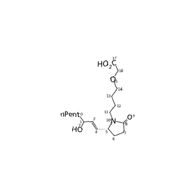 CCCCCC(O)/C=C/[C@H]1CCC(=O)N1CCCCOCC(=O)O